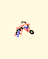 C#C[C@]1(O)C(n2ccc(=O)[nH]c2=O)O[C@H](COP(=O)(N[C@@H](C)C(=O)OCC(C)(C)C)Oc2ccccc2)[C@H]1O